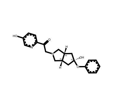 O=C(CN1C[C@@H]2C[C@@](O)(Oc3ccccc3)C[C@@H]2C1)c1ccc(O)cn1